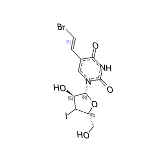 O=c1[nH]c(=O)n([C@@H]2O[C@H](CO)C(I)[C@H]2O)cc1/C=C/Br